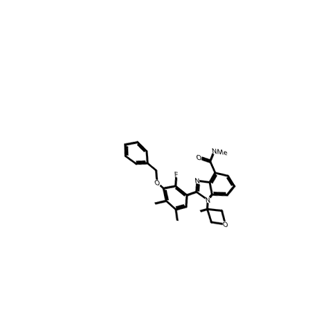 CNC(=O)c1cccc2c1nc(-c1cc(C)c(C)c(OCc3ccccc3)c1F)n2C1(C)COC1